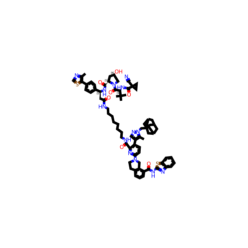 Cc1ncsc1-c1ccc([C@H](CC(=O)NCCCCCCCCNC(=O)c2nc(N3CCc4cccc(C(=O)Nc5nc6ccccc6s5)c4C3)ccc2-c2cnn(CC34CC5CC(CC(C5)C3)C4)c2C)NC(=O)[C@@H]2C[C@@H](O)CN2C(=O)[C@@H](NC(=O)C2(C#N)CC2)C(C)(C)C)cc1